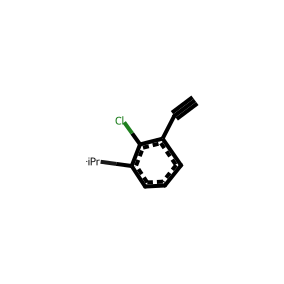 C#Cc1cccc([C](C)C)c1Cl